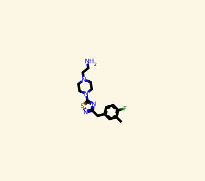 Cc1cc(Cc2nsc(N3CCN(CCN)CC3)n2)ccc1F